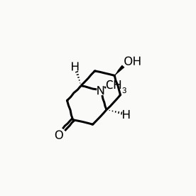 CN1[C@@H]2CC(=O)C[C@H]1C[C@@H](O)C2